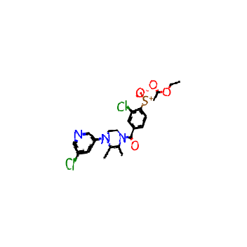 CCOC(=O)C[S+]([O-])c1ccc(C(=O)N2CCN(c3cncc(Cl)c3)C(C)C2C)cc1Cl